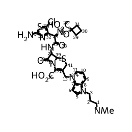 CNCCCn1ccc2c1ccc[n+]2CC1=C(C(=O)O)N2C(=O)C(NC(=O)/C(=N\OC3(C(=O)O)CCC3)c3nc(N)sc3Cl)C2SC1